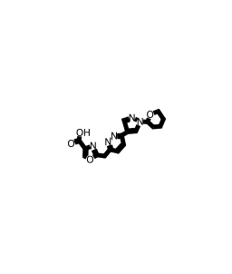 O=C(O)c1coc(Cc2ccc(-c3cnn(C4CCCCO4)c3)nn2)n1